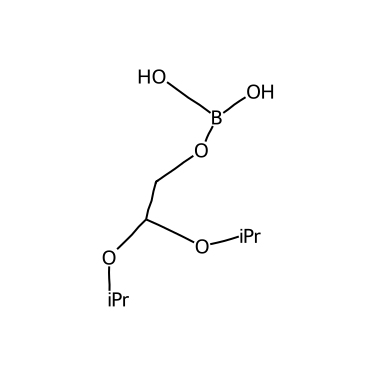 CC(C)OC(COB(O)O)OC(C)C